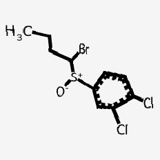 CCCC(Br)[S+]([O-])c1ccc(Cl)c(Cl)c1